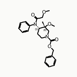 COCC(=O)N(c1ccccc1)[C@H]1CCN(C(=O)OCc2ccccc2)C[C@@]1(C)OC